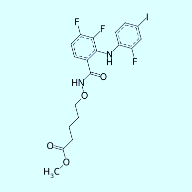 COC(=O)CCCCONC(=O)c1ccc(F)c(F)c1Nc1ccc(I)cc1F